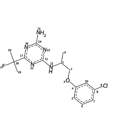 CC(COc1cccc(Cl)c1)Nc1nc(N)nc(C(C)(C)F)n1